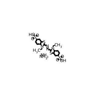 CCn1/c(=N\N=c2\sc3cc(S(=O)(=O)O)ccc3n2CC)sc2cc(S(=O)(=O)O)ccc21.N.N